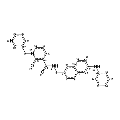 O=C(NCc1ccc2nc(Nc3ccccc3)ncc2c1)c1cccn(Cc2cccnc2)c1=O